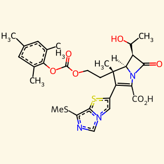 CSc1ncn2cc(C3=C(C(=O)O)N4C(=O)[C@H](C(C)O)[C@@H]4[C@@]3(C)CCOC(=O)Oc3c(C)cc(C)cc3C)sc12